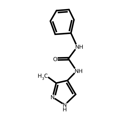 Cc1n[nH]cc1NC(=O)Nc1ccccc1